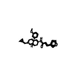 COc1cccc([C@@]23CCN(CC4CC4)C[C@H]2CC[C@@H](NC(=O)/C=C/c2ccoc2)C3)c1